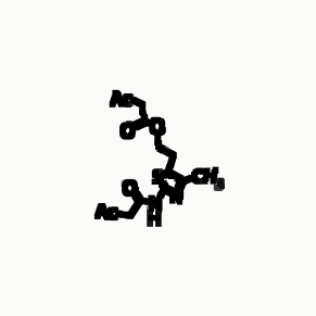 CC(=O)CC(=O)Nc1nc(C)c(CCOC(=O)CC(C)=O)s1